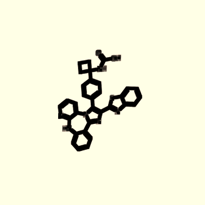 O=C(O)NC1(c2ccc(-c3c(-c4nc5ccccc5s4)nc4n3-c3cccnc3Nc3ccccc3-4)cc2)CCC1